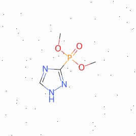 COP(=O)(OC)c1nc[nH]n1